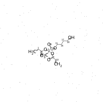 C=CC(=O)OC(C)(OC(=O)C=C)C(=O)OCCCCO